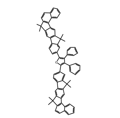 CC1(C)c2cc(-c3oc(-c4ccc5c(c4)C(C)(C)c4cc6c(cc4-5)C(C)(C)c4ccc5ccccc5c4-6)c(-c4ccccc4)c3-c3ccccc3)ccc2-c2cc3c(cc21)-c1c(ccc2ccccc12)C3(C)C